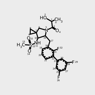 CC(O)C(=O)N1CC2(CC2)C(NS(C)(=O)=O)C1Cc1cccc(-c2cc(F)cc(F)c2)c1F